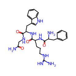 N=C(N)NCCCC(NC(=O)C(N)Cc1ccccc1)C(=O)NC(Cc1c[nH]c2ccccc12)C(=O)NCC(N)=O